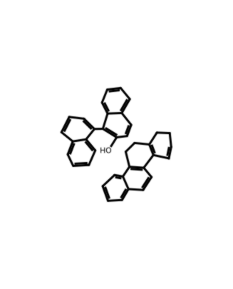 C1=CC2=C(CC1)CCc1c2ccc2ccccc12.Oc1ccc2ccccc2c1-c1cccc2ccccc12